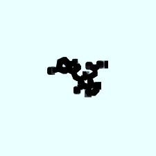 O=C(O)Cc1nn(Cc2csc3ccc(Cl)cc23)c(=O)c2nccnc12